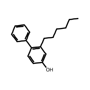 CCCCCCc1cc(O)ccc1-c1ccccc1